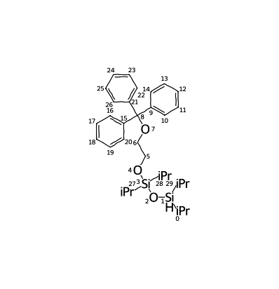 CC(C)[SiH](O[Si](OCCOC(c1ccccc1)(c1ccccc1)c1ccccc1)(C(C)C)C(C)C)C(C)C